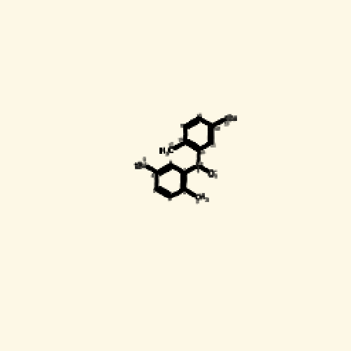 Cc1ccc(C(C)(C)C)cc1[S+]([O-])c1cc(C(C)(C)C)ccc1C